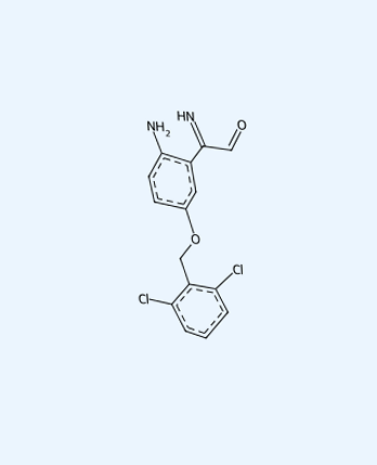 N=C(C=O)c1cc(OCc2c(Cl)cccc2Cl)ccc1N